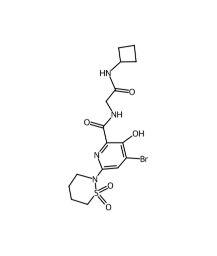 O=C(CNC(=O)c1nc(N2CCCCS2(=O)=O)cc(Br)c1O)NC1CCC1